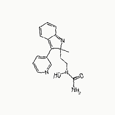 CC1(CCN(O)C(N)=O)N=c2ccccc2=C1c1cccnc1